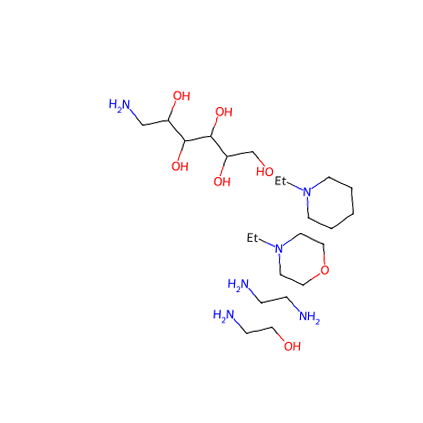 CCN1CCCCC1.CCN1CCOCC1.NCC(O)C(O)C(O)C(O)CO.NCCN.NCCO